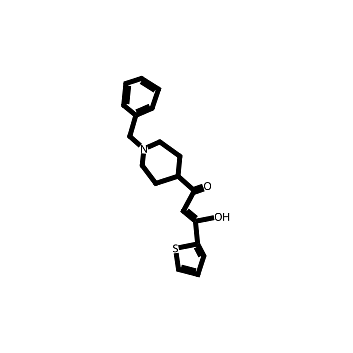 O=C(C=C(O)c1cccs1)C1CCN(Cc2ccccc2)CC1